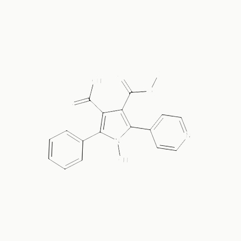 COC(=O)c1c(C(C)=O)c(-c2ccccc2)n(C)c1-c1ccncc1